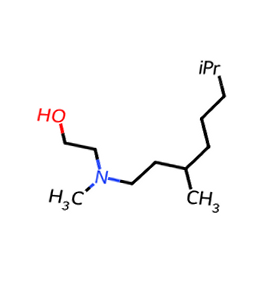 CC(C)CCCC(C)CCN(C)CCO